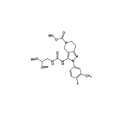 COC(CNC(=O)Nc1c2c(nn1-c1ccc(F)c(C)c1)CCN(C(=O)OC(C)(C)C)C2)OC